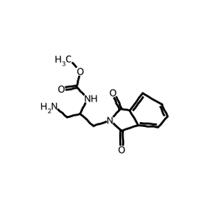 COC(=O)NC(CN)CN1C(=O)c2ccccc2C1=O